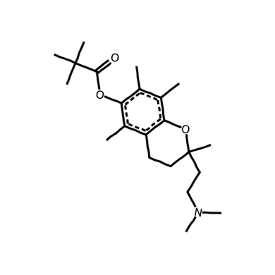 Cc1c(C)c2c(c(C)c1OC(=O)C(C)(C)C)CCC(C)(CCN(C)C)O2